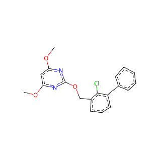 COc1cc(OC)nc(OCc2cccc(-c3ccccc3)c2Cl)n1